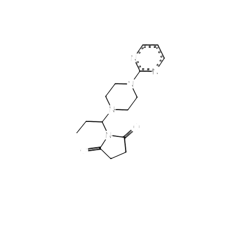 CCC(N1CCN(c2ncccn2)CC1)N1C(=O)CCC1=O